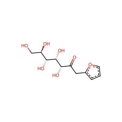 O=C(Cc1ccco1)[C@H](O)[C@@H](O)[C@H](O)[C@H](O)CO